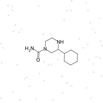 NC(=O)N1CCNC(C2CCCCC2)C1